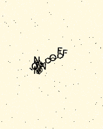 C=CC(=O)N1CCC[C@H]1c1nc(-c2ccc(OCc3ccc(F)c(F)c3)cc2)c2cnccn12